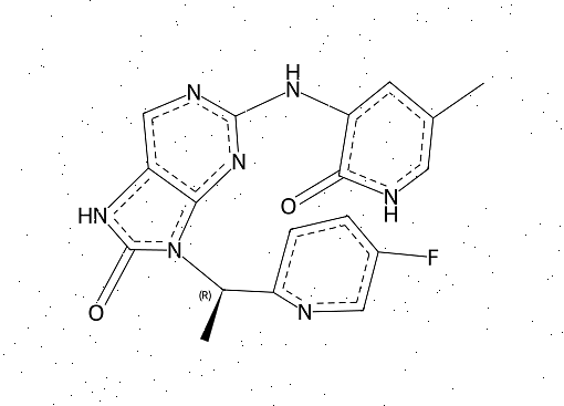 Cc1c[nH]c(=O)c(Nc2ncc3[nH]c(=O)n([C@H](C)c4ccc(F)cn4)c3n2)c1